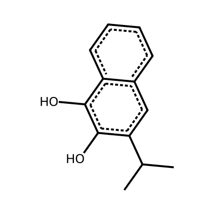 CC(C)c1cc2ccccc2c(O)c1O